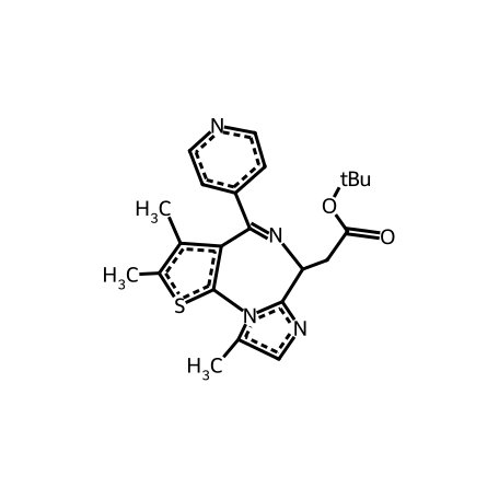 Cc1sc2c(c1C)C(c1ccncc1)=NC(CC(=O)OC(C)(C)C)c1ncc(C)n1-2